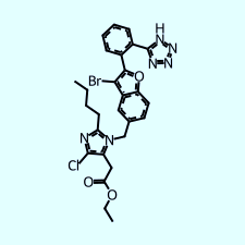 CCCCc1nc(Cl)c(CC(=O)OCC)n1Cc1ccc2oc(-c3ccccc3-c3nnn[nH]3)c(Br)c2c1